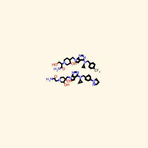 NC(=O)C(CO)N1CCC(Cn2ccc3c(N(Cc4ccc(C(F)(F)F)cc4)C4CC4)ncnc32)C(O)C1.NC(=O)CN1CCC(O)(Cn2ccc3c(N(Cc4ccc(-n5cccn5)cc4)C4CC4)ncnc32)C(O)C1